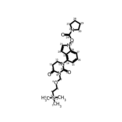 C[Si](C)(C)CCOCN1C(=O)CCN(c2cccc3c2ccn3OC(=O)N2CCCC2)C1=O